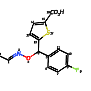 CC=NOC(c1ccc(F)cc1)c1ccc(C(=O)O)s1